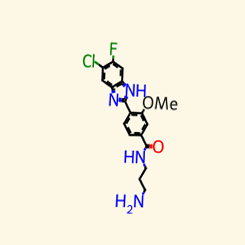 COc1cc(C(=O)NCCCN)ccc1-c1nc2cc(Cl)c(F)cc2[nH]1